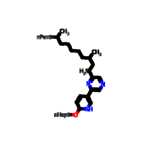 CCCCCCCOC1C=CC(c2cncc([SiH2]CC(C)CCCCCC(C)CCCCC)n2)=CN1